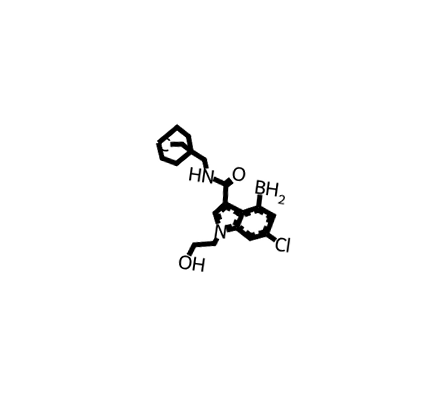 Bc1cc(Cl)cc2c1c(C(=O)NCC13CCC(CC1)CC3)cn2CCO